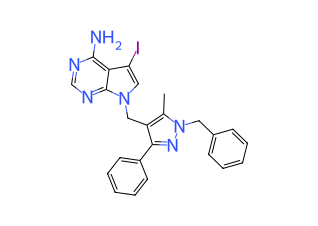 Cc1c(Cn2cc(I)c3c(N)ncnc32)c(-c2ccccc2)nn1Cc1ccccc1